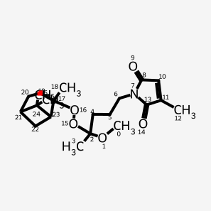 COC(C)(CCCN1C(=O)C=C(C)C1=O)OOC1(C)CCC2CC1C2(C)C